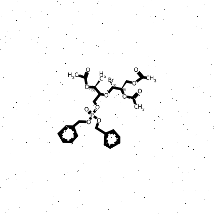 CC(=O)OC[C@@H](OC(C)=O)[C@@H](Br)OC(COP(=O)(OCc1ccccc1)OCc1ccccc1)[C@H](C)OC(C)=O